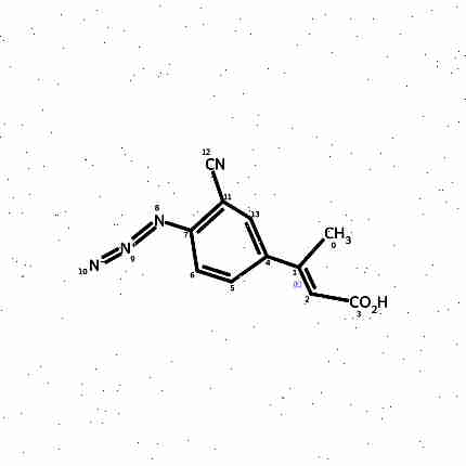 C/C(=C\C(=O)O)c1ccc(N=[N+]=[N-])c(C#N)c1